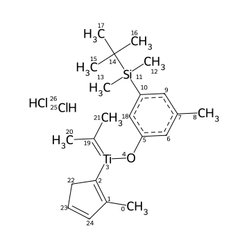 CC1=[C]([Ti]([O]c2cc(C)cc([Si](C)(C)C(C)(C)C)c2)=[C](C)C)CC=C1.Cl.Cl